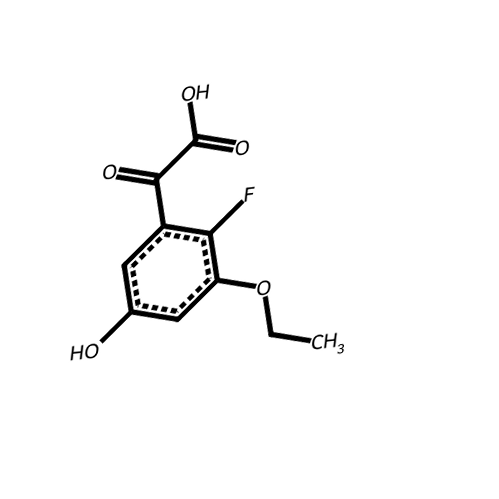 CCOc1cc(O)cc(C(=O)C(=O)O)c1F